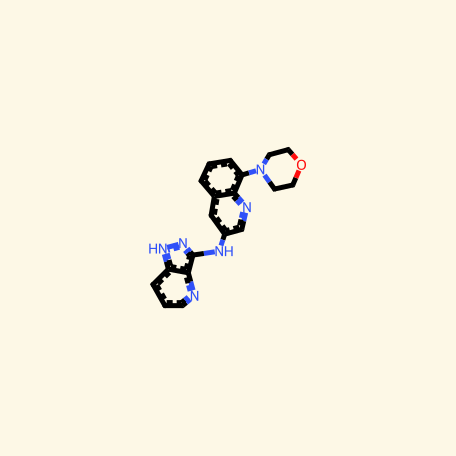 c1cc(N2CCOCC2)c2ncc(Nc3n[nH]c4cccnc34)cc2c1